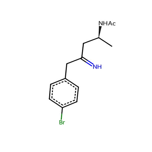 CC(=O)N[C@@H](C)CC(=N)Cc1ccc(Br)cc1